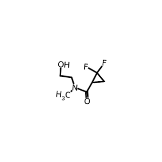 CN(CCO)C(=O)C1CC1(F)F